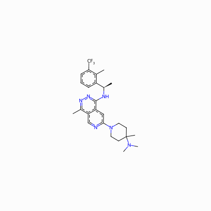 Cc1c([C@@H](C)Nc2nnc(C)c3cnc(N4CCC(C)(N(C)C)CC4)cc23)cccc1C(F)(F)F